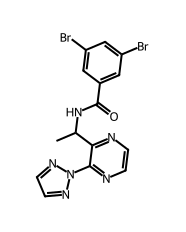 CC(NC(=O)c1cc(Br)cc(Br)c1)c1nccnc1-n1nccn1